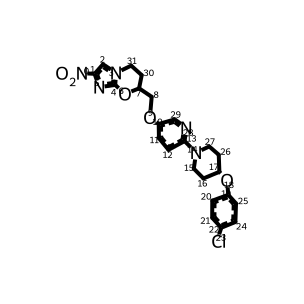 O=[N+]([O-])c1cn2c(n1)OC(COc1ccc(N3CCC(Oc4ccc(Cl)cc4)CC3)nc1)CC2